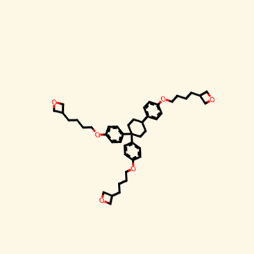 c1cc(C2CCC(c3ccc(OCCCCC4COC4)cc3)(c3ccc(OCCCCC4COC4)cc3)CC2)ccc1OCCCCC1COC1